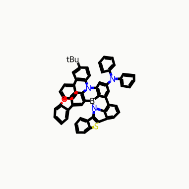 CC(C)(C)c1ccc(N2c3cc4oc5ccccc5c4cc3B3c4c(cc(N(c5ccccc5)c5ccccc5)cc42)-c2cccc4c5sc6ccccc6c5n3c24)c(-c2ccccc2)c1